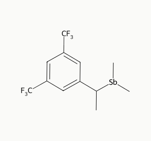 C[CH](c1cc(C(F)(F)F)cc(C(F)(F)F)c1)[Sb]([CH3])[CH3]